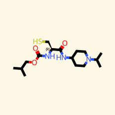 CC(C)COC(=O)N[C@@H](CS)C(=O)NC1CCN(C(C)C)CC1